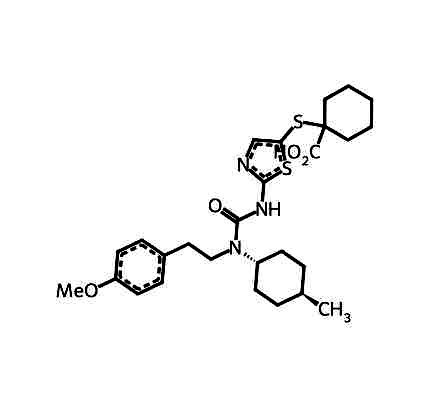 COc1ccc(CCN(C(=O)Nc2ncc(SC3(C(=O)O)CCCCC3)s2)[C@H]2CC[C@H](C)CC2)cc1